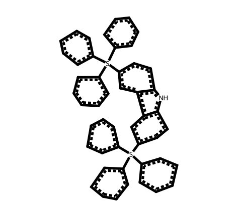 c1ccc(S(c2ccccc2)(c2ccccc2)c2ccc3[nH]c4ccc(S(c5ccccc5)(c5ccccc5)c5ccccc5)cc4c3c2)cc1